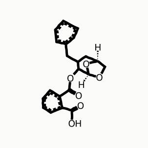 O=C(O)c1ccccc1C(=O)OC1C(Cc2ccccc2)C[C@H]2CO[C@@H]1O2